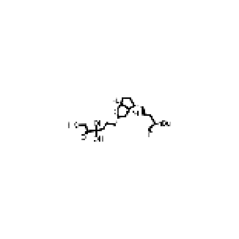 CCCC[C@@H](CF)CC=C[C@H]1CC[C@H]2O[C@@H](CCCC(O)(O)C(=O)CO)C[C@H]12